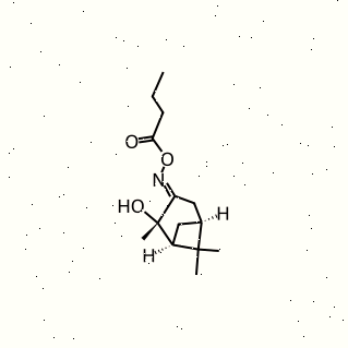 CCCC(=O)ON=C1C[C@@H]2C[C@@H](C2(C)C)[C@]1(C)O